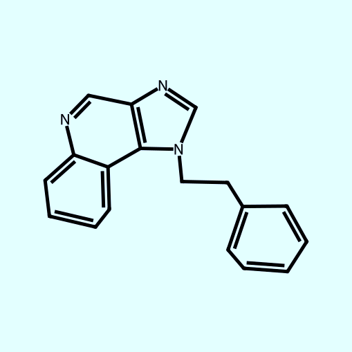 c1ccc(CCn2cnc3cnc4ccccc4c32)cc1